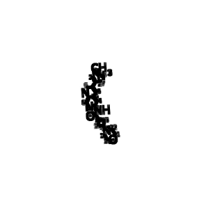 Cn1cc(-c2cnc3cnc(NC(=O)C4CC(N5CCOCC5)C4)cc3c2)cn1